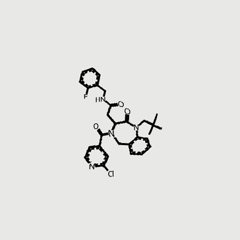 CC(C)(C)CN1C(=O)C(CC(=O)NCc2ccccc2F)N(C(=O)c2ccnc(Cl)c2)Cc2ccccc21